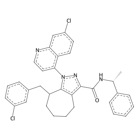 C[C@@H](NC(=O)c1nn(-c2ccnc3cc(Cl)ccc23)c2c1CCCCC2Cc1cccc(Cl)c1)c1ccccc1